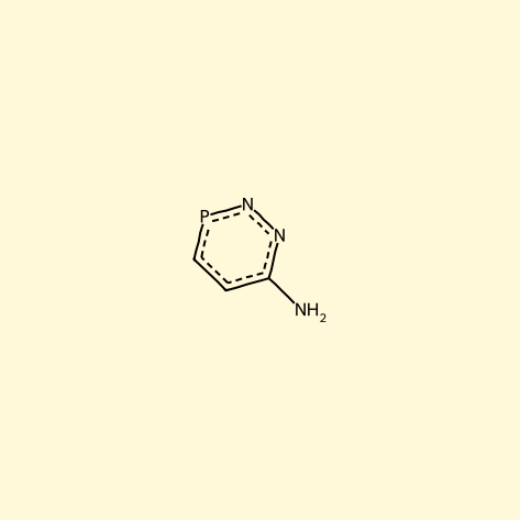 Nc1ccpnn1